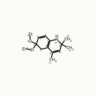 CCOC1(OCC)C=CC2=C(C1)C(C)=CC(C)(C)N2